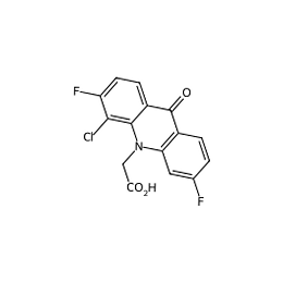 O=C(O)Cn1c2cc(F)ccc2c(=O)c2ccc(F)c(Cl)c21